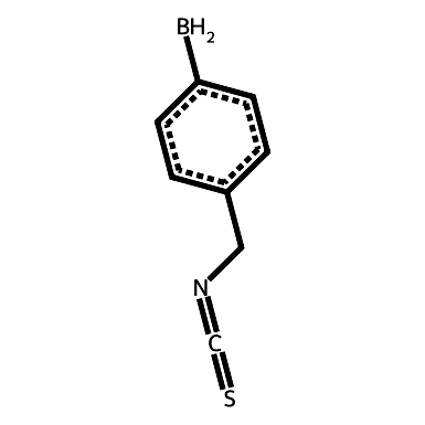 Bc1ccc(CN=C=S)cc1